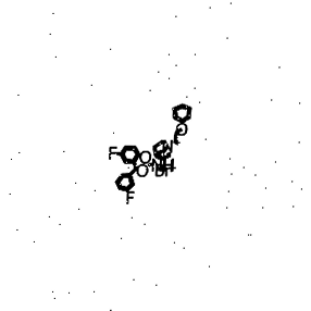 O=C(N[C@H]1C[N+]2(CCOc3ccccc3)CCC1CC2)OC(c1cccc(F)c1)c1cccc(F)c1.[Br-]